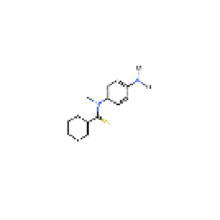 CCN(CC)c1ccc(N(C)C(=S)C2CCCCC2)cc1